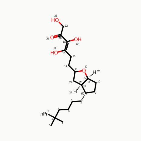 CCCC(C)(C)CCCC[C@H]1CC[C@@H]2OC(CCC(O)=C(O)C(=O)CO)C[C@H]12